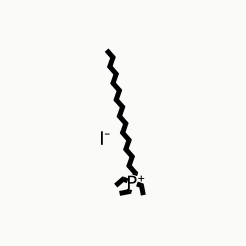 CCCCCCCCCCCCCCCC[P+](CC)(CC)CC.[I-]